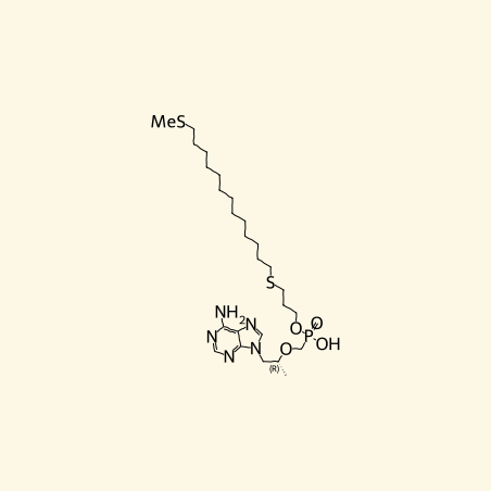 CSCCCCCCCCCCCCCSCCCOP(=O)(O)CO[C@H](C)Cn1cnc2c(N)ncnc21